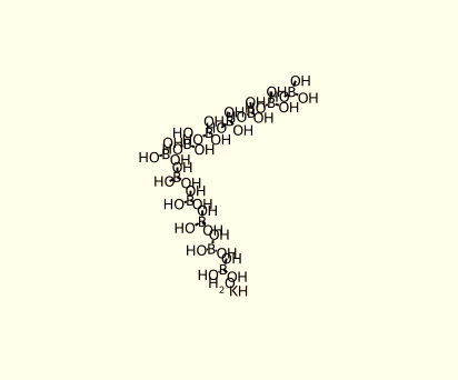 O.OB(O)O.OB(O)O.OB(O)O.OB(O)O.OB(O)O.OB(O)O.OB(O)O.OB(O)O.OB(O)O.OB(O)O.OB(O)O.OB(O)O.[KH]